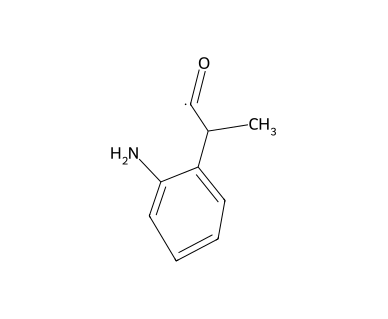 CC([C]=O)c1ccccc1N